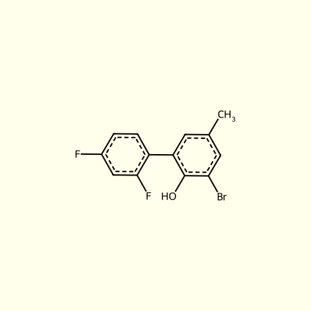 Cc1cc(Br)c(O)c(-c2ccc(F)cc2F)c1